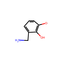 NCc1cccc([O])c1O